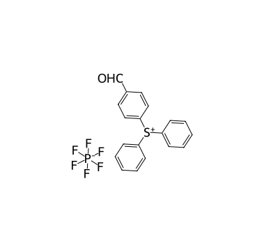 F[P-](F)(F)(F)(F)F.O=Cc1ccc([S+](c2ccccc2)c2ccccc2)cc1